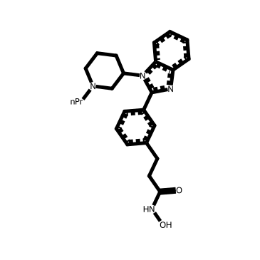 CCCN1CCCC(n2c(-c3cccc(CCC(=O)NO)c3)nc3ccccc32)C1